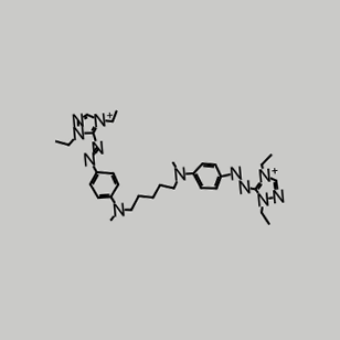 CCn1nc[n+](CC)c1N=Nc1ccc(N(C)CCCCCN(C)c2ccc(N=Nc3n(CC)nc[n+]3CC)cc2)cc1